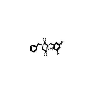 O=C1CN(Cc2ccccc2)C(=O)[C@@H](Cc2cc(F)cc(F)c2)N1